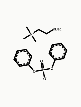 CCCCCCCCCCCC[N+](C)(C)C.O=P([O-])(Oc1ccccc1)Oc1ccccc1